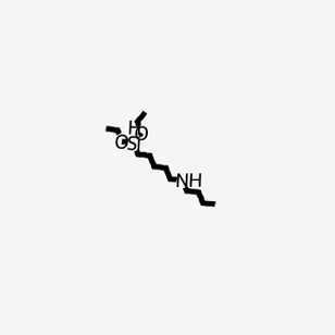 CCCCNCCCCC[SiH](OCC)OCC